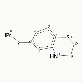 CC(C)Cc1ccc2c(c1)NCCS2